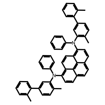 Cc1ccccc1-c1ccc(C)c(N(c2ccccc2)c2ccc3ccc4ccc(N(c5ccccc5)c5cc(-c6ccccc6C)ccc5C)c5ccc2c3c45)c1